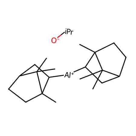 CC(C)[O-].CC1(C)C2CCC1(C)[CH]([Al+][CH]1CC3CCC1(C)C3(C)C)C2